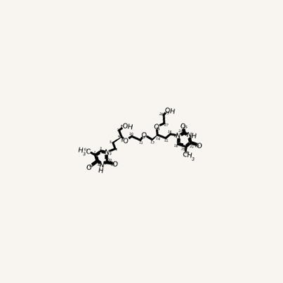 Cc1cn(CC[C@@H](CO)OCCOC[C@H](CCn2cc(C)c(=O)[nH]c2=O)OCCO)c(=O)[nH]c1=O